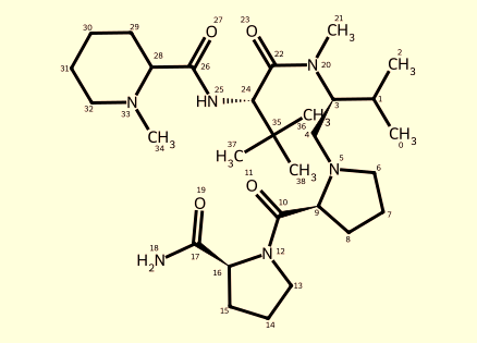 CC(C)[C@@H](CN1CCC[C@H]1C(=O)N1CCC[C@H]1C(N)=O)N(C)C(=O)[C@@H](NC(=O)C1CCCCN1C)C(C)(C)C